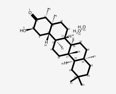 C[C@H]1C(=O)[C@H](O)C[C@@H]2[C@]1(C)CC[C@H]1[C@@]2(C)CC[C@@]2(C)[C@@H]3CC(C)(C)CC[C@]3(C)CC[C@]12C.O.O